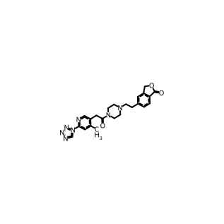 Cc1cc(-n2cnnn2)ncc1CC(=O)N1CCN(CCc2ccc3c(c2)COC3=O)CC1